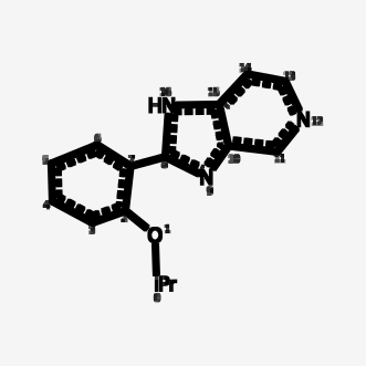 CC(C)Oc1ccccc1-c1nc2cnccc2[nH]1